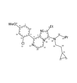 CCc1nc2c(-c3ccc(OC)cc3Cl)nccn2c1N(CCC1CC1)CC(C)C